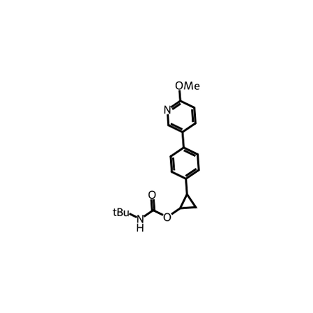 COc1ccc(-c2ccc(C3CC3OC(=O)NC(C)(C)C)cc2)cn1